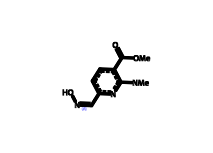 CNc1nc(/C=N\O)ccc1C(=O)OC